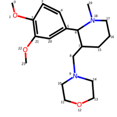 COc1ccc(C2C(CN3CCOCC3)CCCN2C)cc1OC